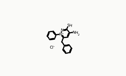 Nc1cc(Cc2ccccc2)[n+](-c2ccccc2)nc1S.[Cl-]